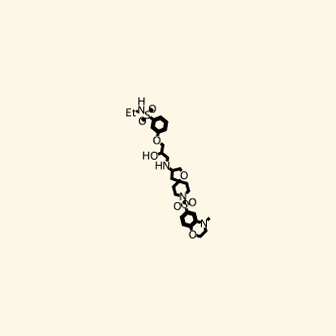 CCNS(=O)(=O)c1cccc(OCC(O)CNC2COC3(CCN(S(=O)(=O)c4ccc5c(c4)N(C)CCO5)CC3)C2)c1